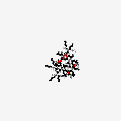 CCCCNN(NCCCC)c1nc(N(NCCCC)C(N)CCC)nc(N(C2CC(C)(C)NC(C)(C)C2)N(C2CC(C)(C)NC(C)(C)C2)C(C)(C)c2nc(N(C(N)CCC)C3CC(C)(C)NC(C)(C)C3)nc(N(C3CC(C)(C)NC(C)(C)C3)N(C3CC(C)(C)NC(C)(C)C3)C(CC)c3nc(N(NCCCC)C(N)CCC)nc(N(NCCCC)C(N)CCC)n3)n2)n1